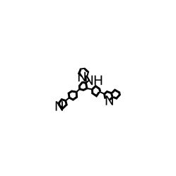 C1=CC2Nc3c(-c4ccc(-c5cnc6ccccc6c5)cc4)cc(-c4ccc(-c5ccncc5)cc4)cc3N2C=C1